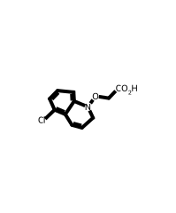 O=C(O)CON1CC=Cc2c(Cl)cccc21